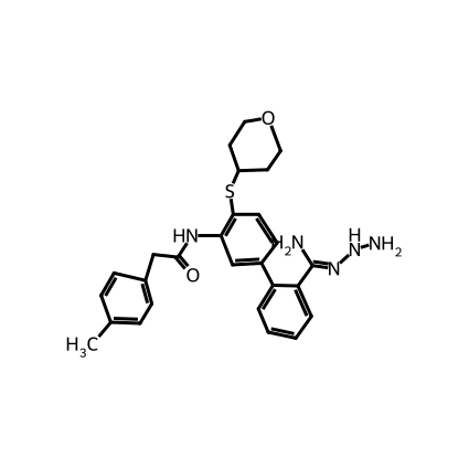 Cc1ccc(CC(=O)Nc2cc(-c3ccccc3/C(N)=N/NN)ccc2SC2CCOCC2)cc1